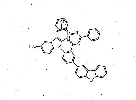 Cc1ccc2c(c1)c1cc(C(F)(F)F)ccc1n2-c1ccc(-c2ccc3oc4ccccc4c3c2)cc1-c1nc(-c2ccccc2)nc(-c2ccccc2)n1